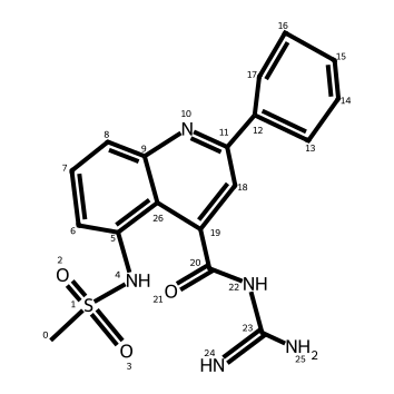 CS(=O)(=O)Nc1cccc2nc(-c3ccccc3)cc(C(=O)NC(=N)N)c12